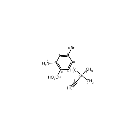 C#C[Si](C)(C)C.Nc1cc(Br)ccc1C(=O)O